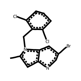 Cc1cc2ncc(Br)cc2n1Cc1c(Cl)cccc1Cl